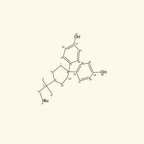 CC(C)(C)CC(C)(C)C1CCC(c2ccc(O)cc2)(c2ccc(O)cc2)CC1